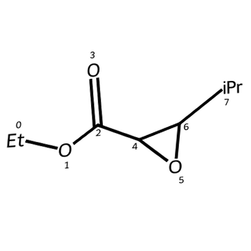 CCOC(=O)C1OC1C(C)C